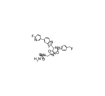 NS(=O)(=O)NCc1nnc(C(NC(=O)c2ccc(CF)cc2)c2nc3ccc(-c4ccc(F)nc4)cc3s2)o1